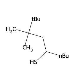 CCCCC(S)CC(C)(C)C(C)(C)C